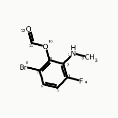 CNc1c(F)ccc(Br)c1OC=O